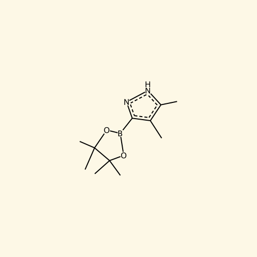 Cc1[nH]nc(B2OC(C)(C)C(C)(C)O2)c1C